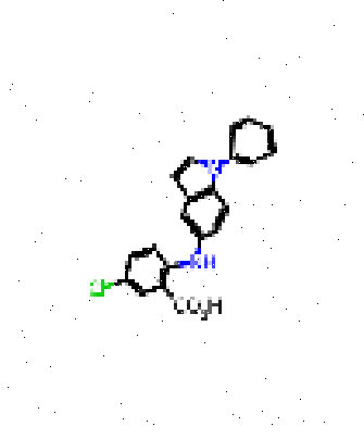 O=C(O)c1cc(Cl)ccc1Nc1ccc2c(ccn2-c2ccccc2)c1